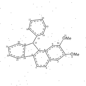 COc1cc2ccc3c(c2cc1OC)C(c1ccccc1)c1ccccc1-3